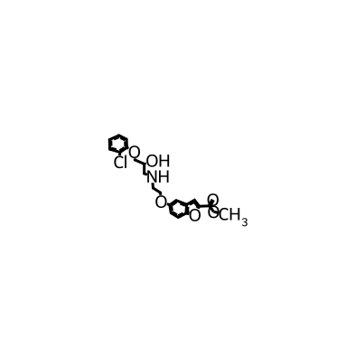 COC(=O)c1cc2cc(OCCNC[C@H](O)COc3ccccc3Cl)ccc2o1